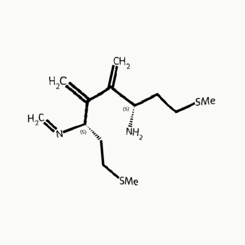 C=N[C@@H](CCSC)C(=C)C(=C)[C@@H](N)CCSC